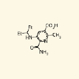 CCC(CC)Nc1cc(C(=O)O)c(C)nc1C(N)=O